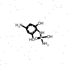 Nc1cc(O)c(NP(N)(=O)O)c(O)c1